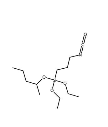 CCCC(C)O[Si](CCCN=C=O)(OCC)OCC